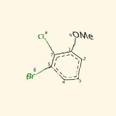 COc1cccc(Br)c1Cl